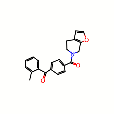 Cc1ccccc1C(=O)c1ccc(C(=O)N2CCc3ccoc3C2)cc1